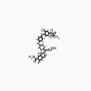 CCCCN(C(=O)Nc1cc(C(N)=O)c(F)cc1F)C1CCN(Cc2ccc(Oc3ccc(NS(C)(=O)=O)cc3Cl)nc2)CC1.Cl